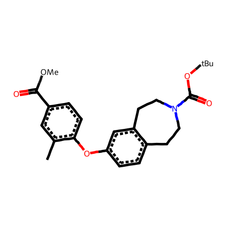 COC(=O)c1ccc(Oc2ccc3c(c2)CCN(C(=O)OC(C)(C)C)CC3)c(C)c1